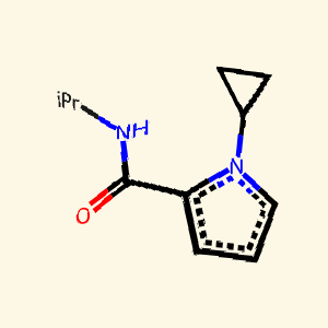 CC(C)NC(=O)c1cccn1C1CC1